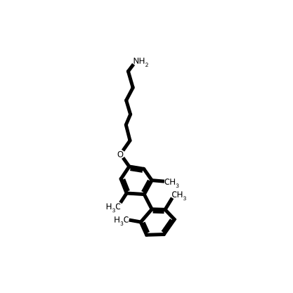 Cc1cccc(C)c1-c1c(C)cc(OCCCCCCN)cc1C